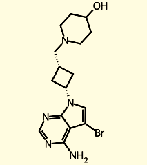 Nc1ncnc2c1c(Br)cn2[C@H]1C[C@@H](CN2CCC(O)CC2)C1